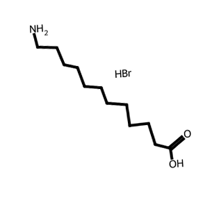 Br.NCCCCCCCCCCCC(=O)O